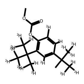 [2H]c1c([2H])c(C(C)(C([2H])([2H])[2H])C([2H])([2H])[2H])c([2H])c(C(C([2H])([2H])[2H])(C([2H])([2H])[2H])C([2H])([2H])[2H])c1OC(=O)OC